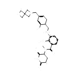 CN(C(=O)c1cccc(NCC2CC=C(CN3CC4(COC4)C3)C=C2F)c1C=O)C1CCC(=O)NC1=O